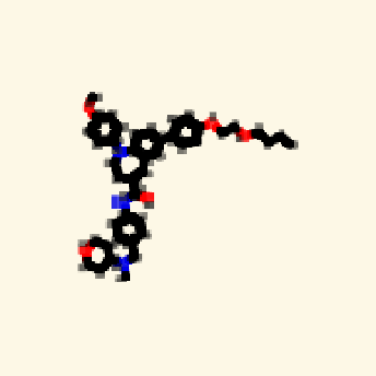 CCCCOCCOc1ccc(-c2ccc3c(c2)C=C(C(=O)Nc2ccc(CN(C)C4CCOCC4)cc2)CCN3c2ccc(OC)cc2)cc1